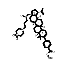 C=C(C)[C@@H]1CC[C@]2(CN(CCCN3CCS(=O)(=O)CC3)C(C)=O)CC[C@]3(C)[C@H](CC[C@@H]4[C@@]5(C)CC=C(c6ccc(C(=O)OC(C)(C)C)cc6)C(C)(C)[C@@H]5CC[C@]43C)[C@@H]12